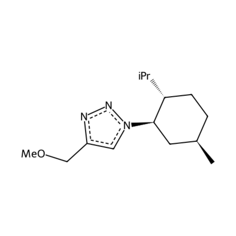 COCc1cn([C@@H]2C[C@H](C)CC[C@H]2C(C)C)nn1